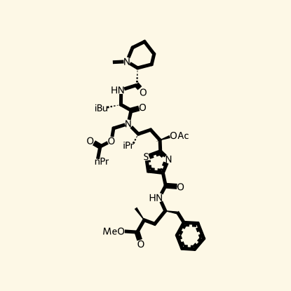 CCCC(=O)OCN(C(=O)[C@@H](NC(=O)[C@H]1CCCCN1C)C(C)CC)[C@H](C[C@@H](OC(C)=O)c1nc(C(=O)N[C@@H](Cc2ccccc2)C[C@H](C)C(=O)OC)cs1)C(C)C